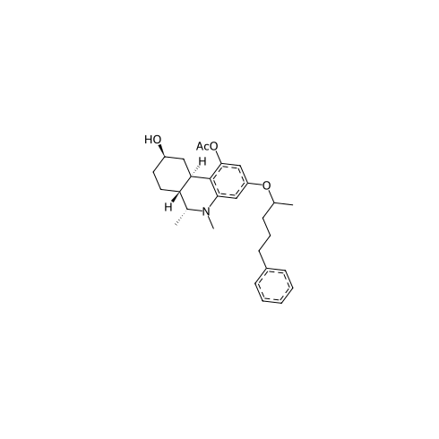 CC(=O)Oc1cc(OC(C)CCCc2ccccc2)cc2c1[C@@H]1C[C@H](O)CC[C@H]1[C@@H](C)N2C